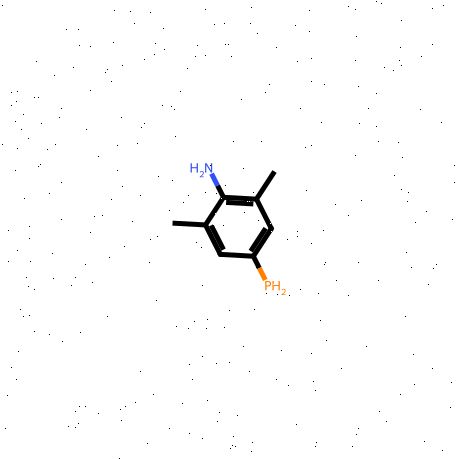 Cc1cc(P)cc(C)c1N